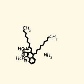 CCCCCCCCCc1c(S(=O)(=O)O)c(S(=O)(=O)O)c2ccccc2c1CCCCCCCCC.N